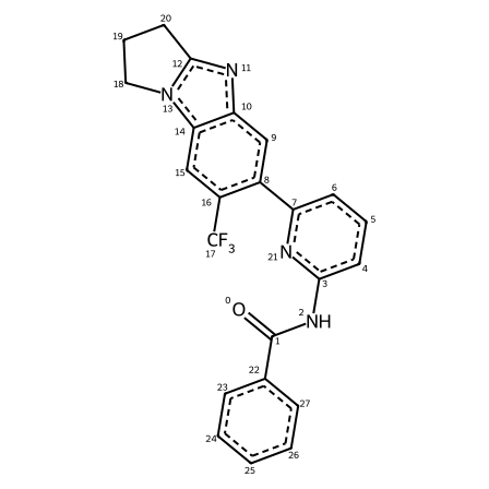 O=C(Nc1cccc(-c2cc3nc4n(c3cc2C(F)(F)F)CCC4)n1)c1ccccc1